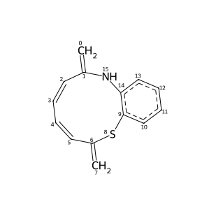 C=C1/C=C\C=C/C(=C)Sc2ccccc2N1